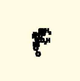 NS(=O)(=O)NCc1nnc(CN(C(=O)O)c2nc3ccc(-c4ccccc4)cc3s2)o1